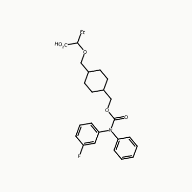 CCC(OCC1CCC(COC(=O)N(c2ccccc2)c2cccc(F)c2)CC1)C(=O)O